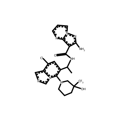 CC(NC(=O)c1c(N)nn2cccnc12)c1cc(Cl)c2cncn2c1N1CCCC(O)(C(F)(F)F)C1